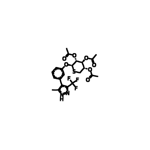 CC(=O)O[C@@H]1[C@@H](OC(C)=O)[C@H](OC(C)=O)CS[C@H]1Oc1cccc(-c2c(C(F)(F)F)n[nH]c2C)c1